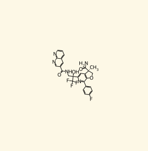 C[C@]1(C(N)=O)COc2c1cc([C@@](O)(CNC(=O)c1cnc3ncccc3c1)C(F)(F)F)nc2-c1ccc(F)cc1